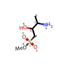 COS(=O)(=O)CC(O)C(C)N